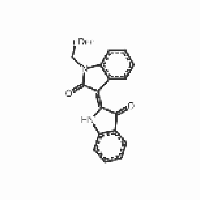 CCCCCCCCCCCN1C(=O)/C(=C2\Nc3ccccc3C2=O)c2ccccc21